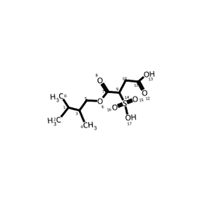 CC(C)C(C)COC(=O)C(CC(=O)O)S(=O)(=O)O